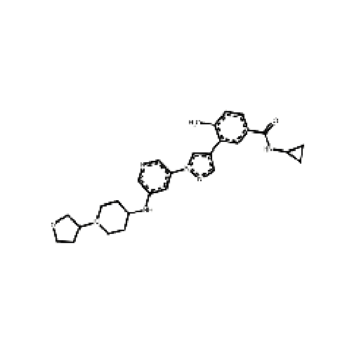 Cc1ccc(C(=O)NC2CC2)cc1-c1cnn(-c2cncc(NC3CCN(C4CCOC4)CC3)c2)c1